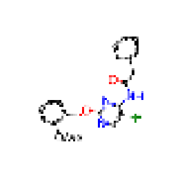 COc1ccccc1COc1ncc(F)c(NC(=O)Cc2ccccc2)n1